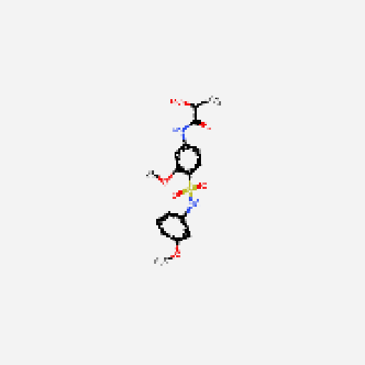 CCOc1cc(NC(=O)C(O)C(F)(F)F)ccc1S(=O)(=O)Nc1cccc(OC(F)(F)F)c1